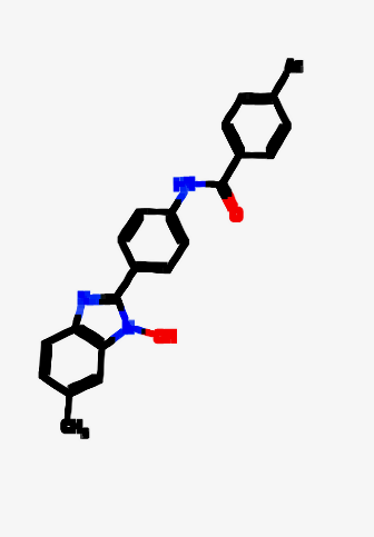 CC(=O)c1ccc(C(=O)Nc2ccc(-c3nc4ccc(C)cc4n3O)cc2)cc1